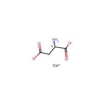 N[C@H](CC(=O)[O-])C(=O)[O-].[Ca+2]